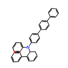 C1=CCC(N(c2ccccc2)c2ccc(-c3ccc(-c4ccccc4)cc3)cc2)C(c2ccccc2)=C1